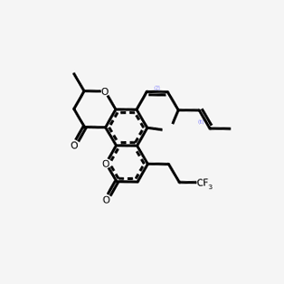 C/C=C/C(C)/C=C\c1c2c(c3oc(=O)cc(CCC(F)(F)F)c3c1C)C(=O)CC(C)O2